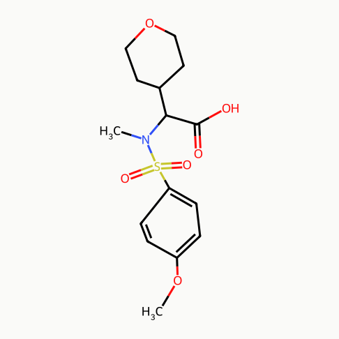 COc1ccc(S(=O)(=O)N(C)C(C(=O)O)C2CCOCC2)cc1